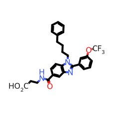 O=C(O)CCNC(=O)c1ccc2c(c1)nc(-c1cccc(OC(F)(F)F)c1)n2CCCCc1ccccc1